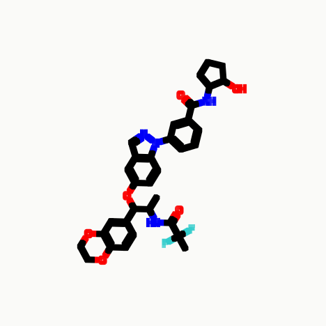 CC(NC(=O)C(C)(F)F)C(Oc1ccc2c(cnn2-c2cccc(C(=O)NC3CCCC3O)c2)c1)c1ccc2c(c1)OCCO2